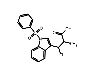 CC(C(=O)O)C(Cl)c1cn(S(=O)(=O)c2ccccc2)c2ccccc12